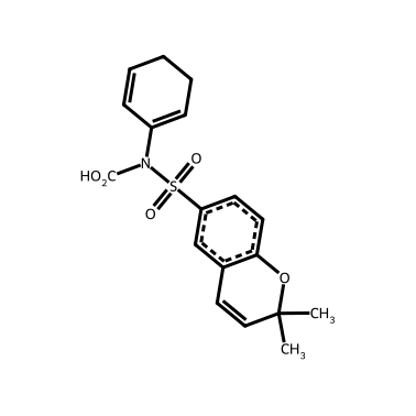 CC1(C)C=Cc2cc(S(=O)(=O)N(C(=O)O)C3=CCCC=C3)ccc2O1